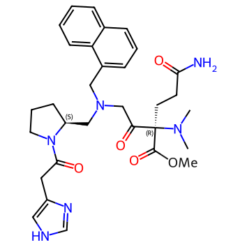 COC(=O)[C@@](CCC(N)=O)(C(=O)CN(Cc1cccc2ccccc12)C[C@@H]1CCCN1C(=O)Cc1c[nH]cn1)N(C)C